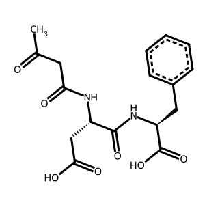 CC(=O)CC(=O)N[C@@H](CC(=O)O)C(=O)N[C@@H](Cc1ccccc1)C(=O)O